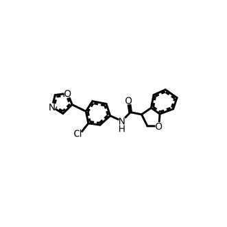 O=C(Nc1ccc(-c2cnco2)c(Cl)c1)C1COc2ccccc21